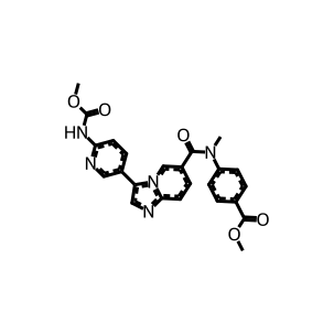 COC(=O)Nc1ccc(-c2cnc3ccc(C(=O)N(C)c4ccc(C(=O)OC)cc4)cn23)cn1